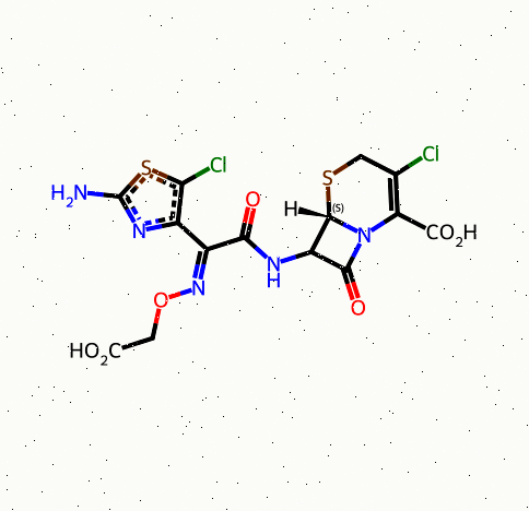 Nc1nc(C(=NOCC(=O)O)C(=O)NC2C(=O)N3C(C(=O)O)=C(Cl)CS[C@@H]23)c(Cl)s1